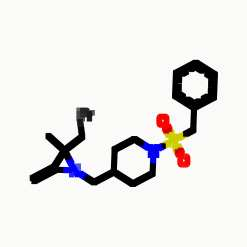 C=C1N(CC2CCN(S(=O)(=O)Cc3ccccc3)CC2)C1(C)CC(C)C